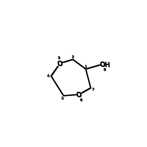 OC1COCCOC1